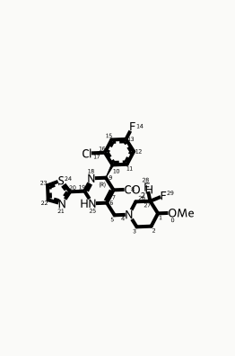 COC1CCN(CC2=C(C(=O)O)[C@H](c3ccc(F)cc3Cl)N=C(c3nccs3)N2)CC1(F)F